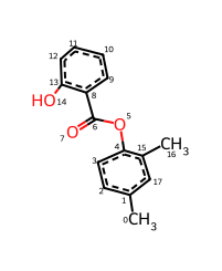 Cc1ccc(OC(=O)c2ccccc2O)c(C)c1